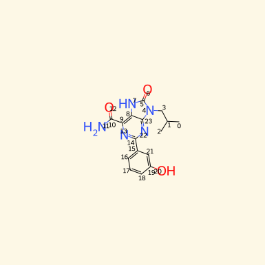 CC(C)Cn1c(=O)[nH]c2c(C(N)=O)nc(-c3cccc(O)c3)nc21